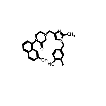 Cc1nc(CN2CCN(c3cccc4ccc(O)cc34)C(=O)C2)cn1Cc1ccc(C#N)c(F)c1